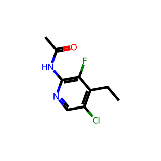 CCc1c(Cl)cnc(NC(C)=O)c1F